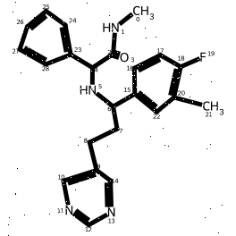 CNC(=O)C(NC(CCc1cncnc1)c1ccc(F)c(C)c1)c1ccccc1